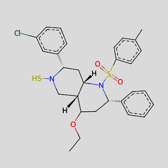 CCOC1C[C@@H](c2ccccc2)N(S(=O)(=O)c2ccc(C)cc2)[C@H]2C[C@@H](c3cccc(Cl)c3)N(S)C[C@@H]12